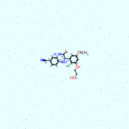 COc1cc(OCCO)c(F)c(C(Nc2ccc(C#N)cc2)C(N)=S)c1